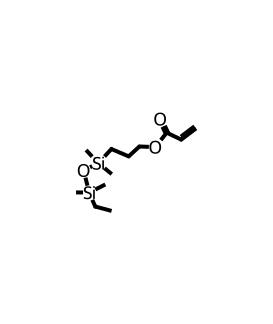 C=CC(=O)OCCC[Si](C)(C)O[Si](C)(C)CC